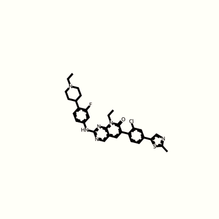 CCN1CCC(c2ccc(Nc3ncc4cc(-c5ccc(-c6cnc(C)s6)cc5Cl)c(=O)n(CC)c4n3)cc2F)CC1